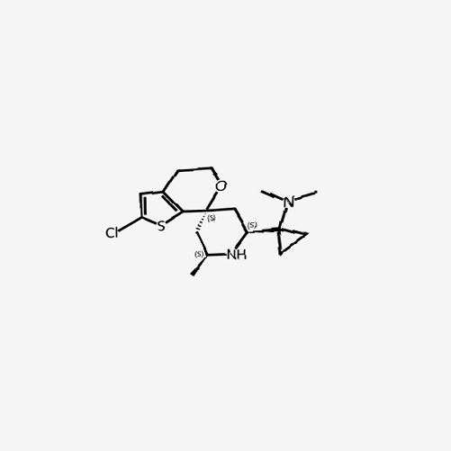 C[C@H]1C[C@@]2(C[C@@H](C3(N(C)C)CC3)N1)OCCc1cc(Cl)sc12